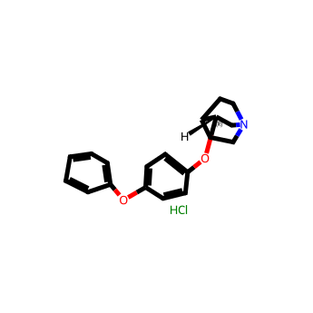 Cl.c1ccc(Oc2ccc(O[C@H]3CN4CCC3CC4)cc2)cc1